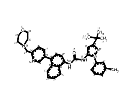 Cc1cccc(-n2nc(C(C)(C)C)cc2NC(=O)Nc2ccc(-c3ccc(CN4CCOCC4)nc3)c3ccccc23)c1